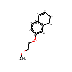 COCCOc1ccc2c(c1)CC[C]=C2